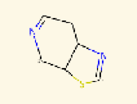 [C]1N=CCC2N=[C]SC12